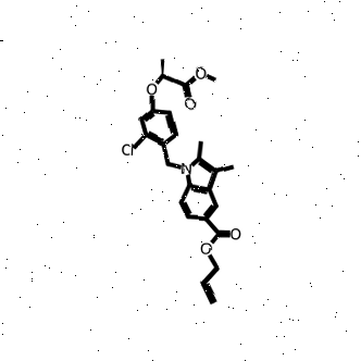 C=CCOC(=O)c1ccc2c(c1)c(C)c(C)n2Cc1ccc(O[C@@H](C)C(=O)OC)cc1Cl